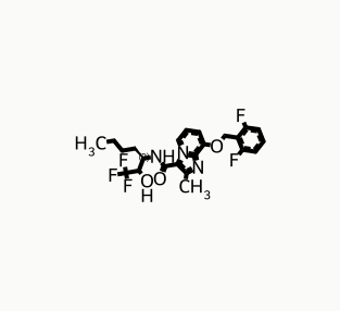 CCCC[C@@H](NC(=O)c1c(C)nc2c(OCc3c(F)cccc3F)cccn12)C(O)C(F)(F)F